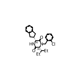 CCC(CC)[C@@H]1C(=O)N[C@H](C2Cc3ccccc3C2)C(=O)N1Cc1ccccc1Cl